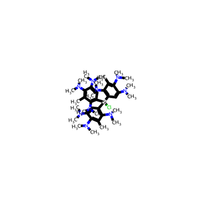 Cc1c(N(C)C)c(N(C)C)cc([Si](Cl)(c2cc(N(C)C)c(N(C)C)c(C)c2N(C)C)c2cc(N(C)C)c(N(C)C)c(C)c2N(C)C)c1N(C)C